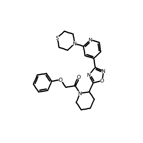 O=C(COc1ccccc1)N1CCCCC1c1nc(-c2ccnc(N3CCSCC3)c2)no1